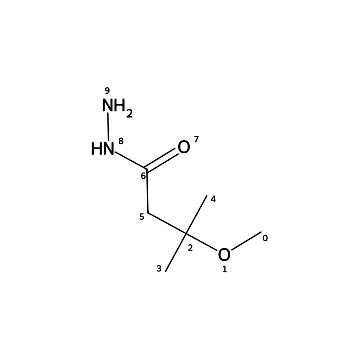 COC(C)(C)CC(=O)NN